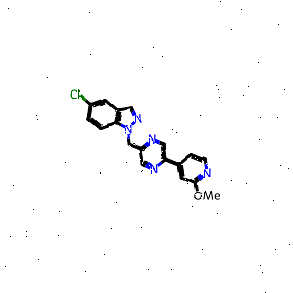 COc1cc(-c2cnc(Cn3ncc4cc(Cl)ccc43)cn2)ccn1